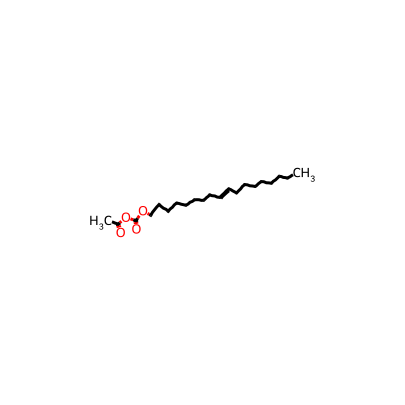 CCCCCCCCC=CCCCCCCCCOC(=O)OC(C)=O